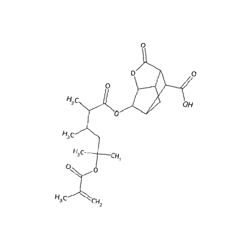 C=C(C)C(=O)OC(C)(C)CC(C)C(C)C(=O)OC1C2CC3C1OC(=O)C3C2C(=O)O